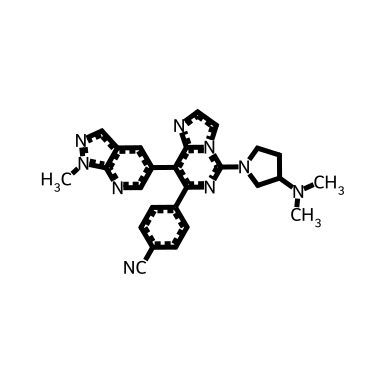 CN(C)C1CCN(c2nc(-c3ccc(C#N)cc3)c(-c3cnc4c(cnn4C)c3)c3nccn23)C1